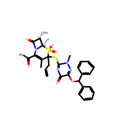 C=CCC1(Sc2nc(=O)c(OC(c3ccccc3)c3ccccc3)nn2C)C(C)=C(C(=O)C(C)(C)C)N2C(=O)[C@H](OC)[C@H]2S1(=O)=O